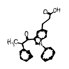 CC(C(=O)c1cn(-c2ccccc2)c2ccc(CCC(=O)O)cc12)c1ccccc1